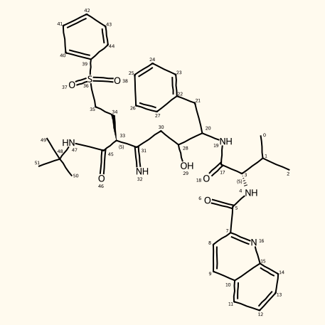 CC(C)[C@H](NC(=O)c1ccc2ccccc2n1)C(=O)NC(Cc1ccccc1)C(O)CC(=N)[C@H](CCS(=O)(=O)c1ccccc1)C(=O)NC(C)(C)C